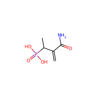 C=C(C(N)=O)C(C)P(=O)(O)O